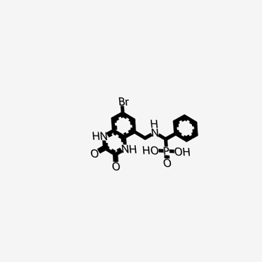 O=c1[nH]c2cc(Br)cc(CNC(c3ccccc3)P(=O)(O)O)c2[nH]c1=O